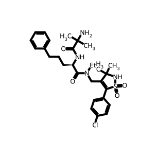 CCN(CC1=C(c2ccc(Cl)cc2)S(=O)(=O)NC1(C)C)C(=O)[C@@H](CCCc1ccccc1)NC(=O)C(C)(C)N